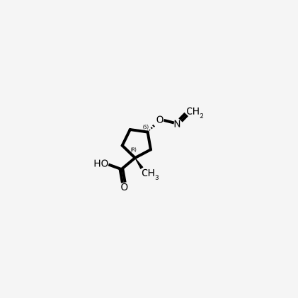 C=NO[C@H]1CC[C@@](C)(C(=O)O)C1